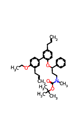 C=CCc1ccc(OC(CCN(C)C(=O)OC(C)(C)C)c2ccccc2)c(-c2ccc(OCC)c(CC=C)c2)c1